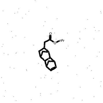 CCCOC(=O)CC1CC2CC1C1C3C=CC(C3)C21